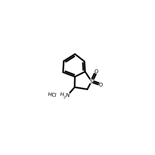 Cl.NC1CS(=O)(=O)c2ccccc21